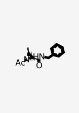 CC(=O)N1[C@H](C(=O)NCc2ccccc2)[C@@H]1C